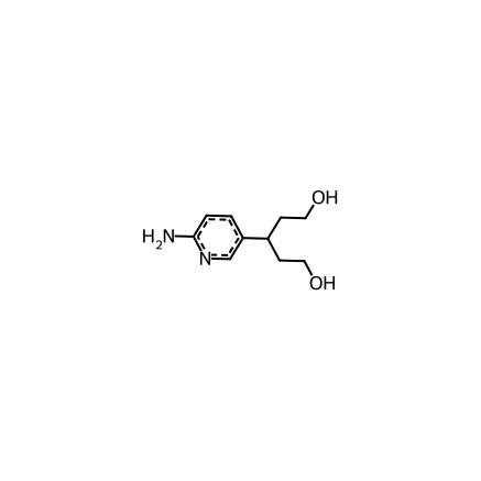 Nc1ccc(C(CCO)CCO)cn1